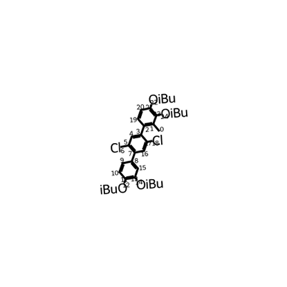 Cc1c(-c2cc(Cl)c(-c3ccc(OCC(C)C)c(OCC(C)C)c3)cc2Cl)ccc(OCC(C)C)c1OCC(C)C